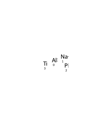 [Al].[Na].[P].[Ti]